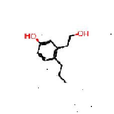 CCCc1ccc(O)cc1CCO